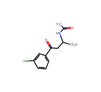 O=C(CC(NC(=O)C(F)(F)F)C(=O)O)c1cccc(F)c1